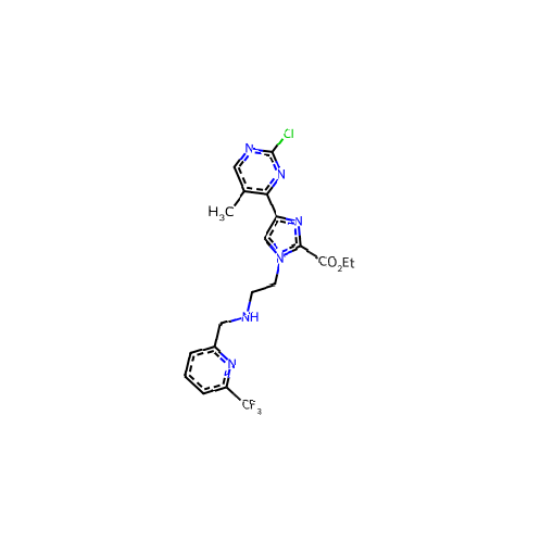 CCOC(=O)c1nc(-c2nc(Cl)ncc2C)cn1CCNCc1cccc(C(F)(F)F)n1